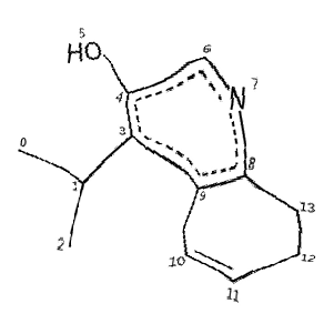 CC(C)c1c(O)cnc2c1C=CCC2